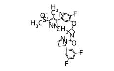 Cc1c([S+](C)[O-])nn(C)c1-c1cc(OC2CN(C(=O)N3N=CCC3c3cc(F)cc(F)c3)C2)c(F)cn1